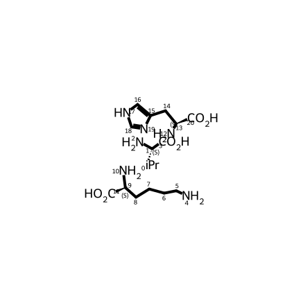 CC(C)[C@H](N)C(=O)O.NCCCC[C@H](N)C(=O)O.N[C@@H](Cc1c[nH]cn1)C(=O)O